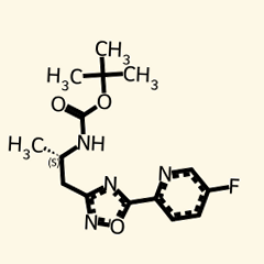 C[C@@H](Cc1noc(-c2ccc(F)cn2)n1)NC(=O)OC(C)(C)C